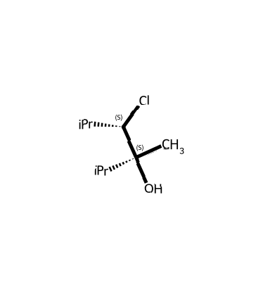 CC(C)[C@H](Cl)[C@@](C)(O)C(C)C